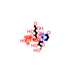 O=CC(O)C(O)C(O)C(CO)OP(=O)(O)OP(=O)(O)O.O=c1ccn([C@@H]2O[C@H](CO)[C@@H](O)[C@H]2O)c(=O)[nH]1